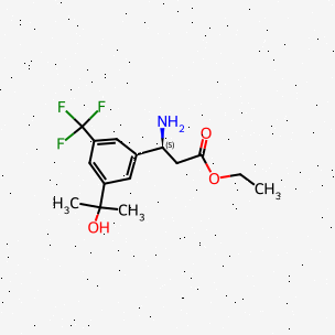 CCOC(=O)C[C@H](N)c1cc(C(C)(C)O)cc(C(F)(F)F)c1